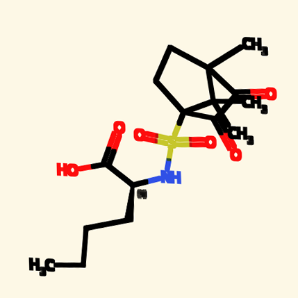 CCCC[C@H](NS(=O)(=O)C12CCC(C)(C(=O)C1=O)C2(C)C)C(=O)O